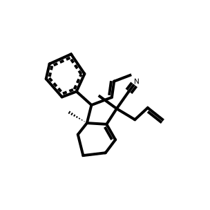 C=CCC(C)(C#N)C1=CCCC[C@@]1(C)C(/C=C/C)c1ccccc1